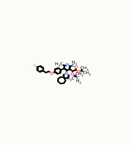 Cc1nc(C)c([C@H](OC(C)(C)C)C(=O)OC(C)C)c(N2CCC3(CCCCCC3)C2)c1-c1ccc(OCCc2ccc(F)cc2)cc1